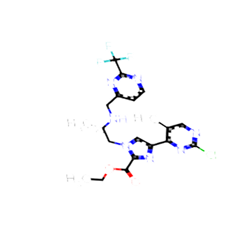 CCOC(=O)c1nc(-c2nc(Cl)ncc2C)cn1C[C@H](C)NCc1ccnc(C(F)(F)F)n1